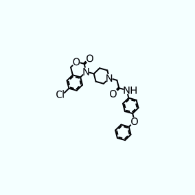 O=C(CN1CCC(N2C(=O)OCc3cc(Cl)ccc32)CC1)Nc1ccc(Oc2ccccc2)cc1